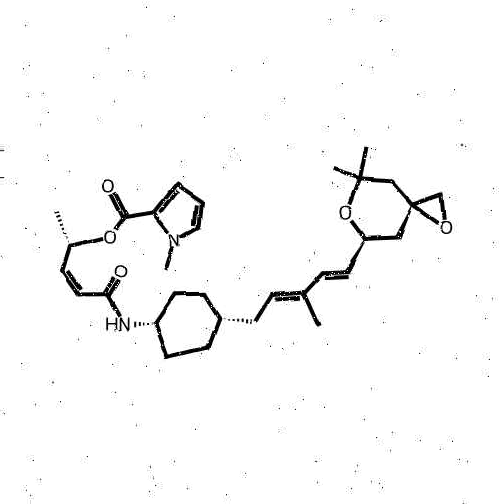 CC(/C=C/[C@@H]1C[C@]2(CO2)CC(C)(C)O1)=C\C[C@H]1CC[C@@H](NC(=O)/C=C\[C@H](C)OC(=O)c2cccn2C)CC1